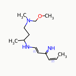 C/C=C\C(=N)/C=C/NC(C)CCN(C)COC